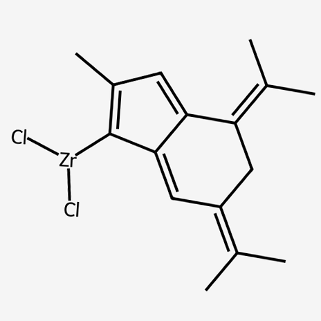 CC(C)=C1C=C2C(=CC(C)=[C]2[Zr]([Cl])[Cl])C(=C(C)C)C1